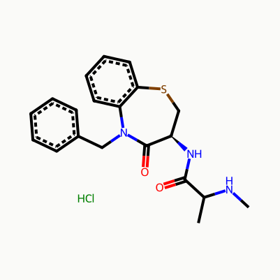 CNC(C)C(=O)N[C@@H]1CSc2ccccc2N(Cc2ccccc2)C1=O.Cl